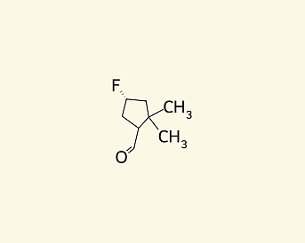 CC1(C)C[C@@H](F)CC1C=O